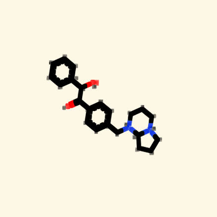 O=C(c1ccc(CN2CCCN3CCCC32)cc1)C(O)c1ccccc1